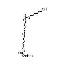 CCCCCCOC(=O)OCCCCCCOCCCCCOC(=O)OCCCCCCO